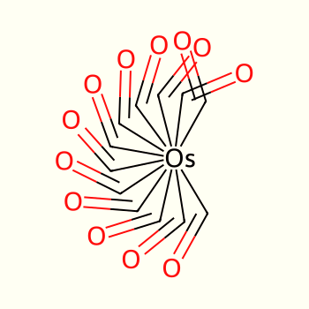 O=[CH][Os]([CH]=O)([CH]=O)([CH]=O)([CH]=O)([CH]=O)([CH]=O)([CH]=O)([CH]=O)([CH]=O)([CH]=O)[CH]=O